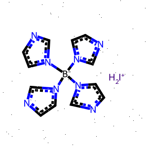 [IH2+].c1cn([B-](n2ccnc2)(n2ccnc2)n2ccnc2)cn1